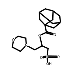 O=C(OC(CN1CCOCC1)CS(=O)(=O)O)C12CC3CC(CC(C3)C1)C2